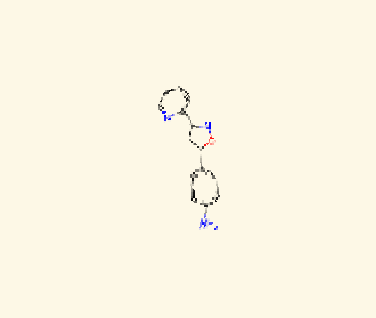 Nc1ccc(C2CC(c3ccccn3)=NO2)cc1